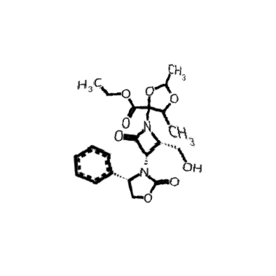 CCOC(=O)C1(N2C(=O)[C@@H](N3C(=O)OC[C@@H]3c3ccccc3)[C@H]2CO)OC(C)OC1C